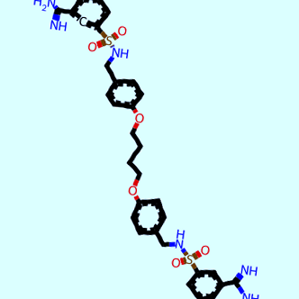 N=C(N)c1cccc(S(=O)(=O)NCc2ccc(OCCCCOc3ccc(CNS(=O)(=O)c4cccc(C(=N)N)c4)cc3)cc2)c1